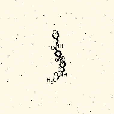 C=CC(=O)NC1CC2CCN(S(=O)(=O)c3ccc(C(=O)NCCC4CCOCC4)cc3)CC2O1